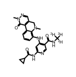 [2H]C([2H])([2H])NC(=O)c1cnc(NC(=O)C2CC2)cc1Nc1cccc2c1N(C)Cc1cnn(C)c(=O)c1-2